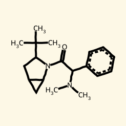 CN(C)C(C(=O)N1C2CC2CC1C(C)(C)C)c1ccccc1